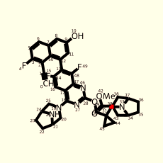 C#Cc1c(F)ccc2cc(O)cc(-c3c(F)cc4c(N5CC6CCC(C5)N6)nc(OCC5(CN6C7CCC6CC(C(=O)OC)C7)CC5)nc4c3F)c12